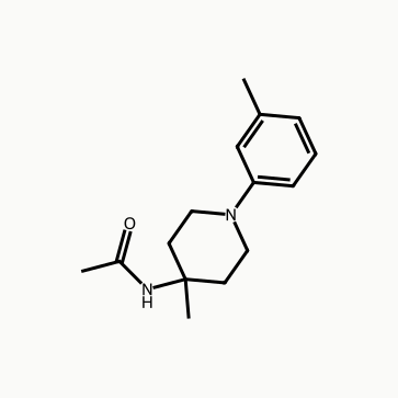 CC(=O)NC1(C)CCN(c2cccc(C)c2)CC1